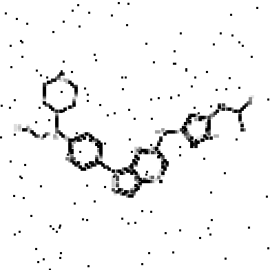 OC[C@@H](c1ccc(-n2ncc3ncc(Nc4cc(OC(F)F)[nH]n4)nc32)cc1)C1CCOCC1